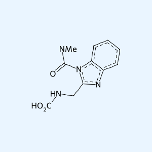 CNC(=O)n1c(CNC(=O)O)nc2ccccc21